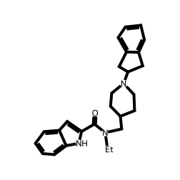 CCN(CC1CCN(C2Cc3ccccc3C2)CC1)C(=O)c1cc2ccccc2[nH]1